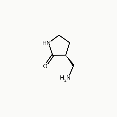 NC[C@@H]1CCNC1=O